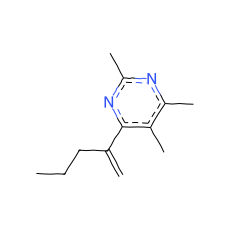 C=C(CCC)c1nc(C)nc(C)c1C